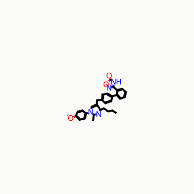 CCCCC1=NC(C)N(c2ccc(OC)cc2)C=C1Cc1ccc(-c2ccccc2-c2noc(=O)[nH]2)cc1